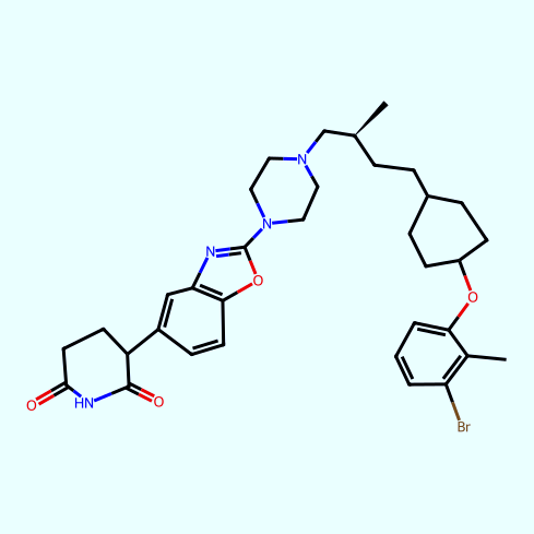 Cc1c(Br)cccc1OC1CCC(CC[C@H](C)CN2CCN(c3nc4cc(C5CCC(=O)NC5=O)ccc4o3)CC2)CC1